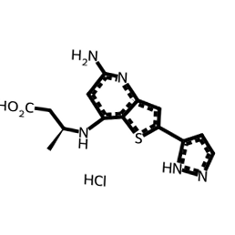 C[C@@H](CC(=O)O)Nc1cc(N)nc2cc(-c3ccn[nH]3)sc12.Cl